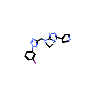 Ic1cccc(-n2nnc(CN3CCCn4c(-c5ccncc5)nnc43)n2)c1